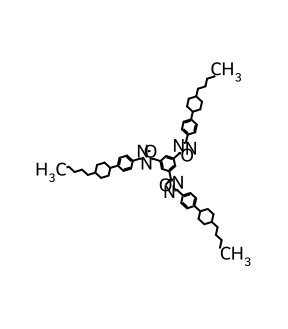 CCCCCC1CCC(c2ccc(-c3noc(-c4cc(-c5nc(-c6ccc(C7CCC(CCCCC)CC7)cc6)no5)cc(-c5nc(-c6ccc(C7CCC(CCCCC)CC7)cc6)no5)c4)n3)cc2)CC1